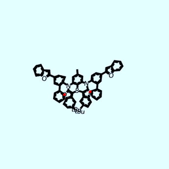 Cc1cc2c3c(c1)N(c1ccc(-c4cc5ccccc5o4)cc1-c1ccccc1)c1oc4ccc(C(C)(C)C)cc4c1B3c1c(oc3ccc(C(C)(C)C)cc13)N2c1ccc(-c2cc3ccccc3o2)cc1-c1ccccc1